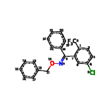 FC(F)(F)c1ccc(Cl)cc1/C(=N/OCc1ccccc1)c1ccccc1